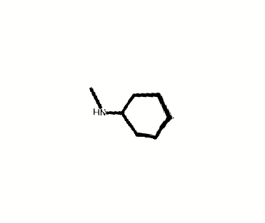 CNC1CC[CH]CC1